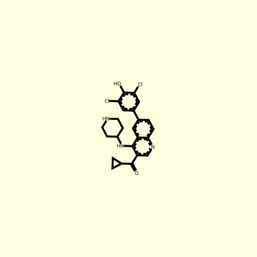 O=C(c1cnc2ccc(-c3cc(Cl)c(O)c(Cl)c3)cc2c1NC1CCNCC1)C1CC1